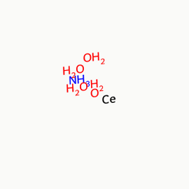 N.O.O.O.O.[Ce]